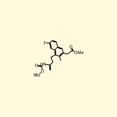 C=C(CCc1c(C)c(CC(=O)OC)cc2ccc(F)cc12)NC(=O)OC(C)(C)C